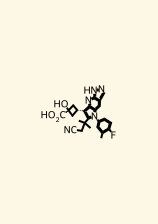 Cc1cc(-n2c(C(C)(C)CC#N)c([C@H]3C[C@](O)(C(=O)O)C3)c3nc4[nH]ncc4cc32)ccc1F